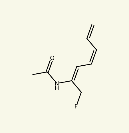 C=C/C=C\C=C(/CF)NC(C)=O